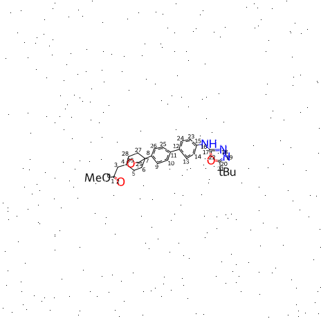 COC(=O)CC12CCC(c3ccc(-c4ccc(Nc5nnc(C(C)(C)C)o5)cc4)cc3)(CC1)CO2